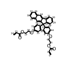 C=CC(=O)OCCOc1ccc(C2(c3ccc(OCCOC(=O)C=C)cc3)c3ccccc3-c3cc4ccccc4cc32)cc1